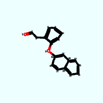 O=CCc1ccccc1Oc1ccc2ccccc2c1